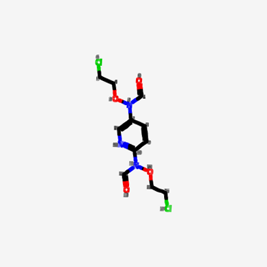 O=CN(OCCCl)c1ccc(N(C=O)OCCCl)nc1